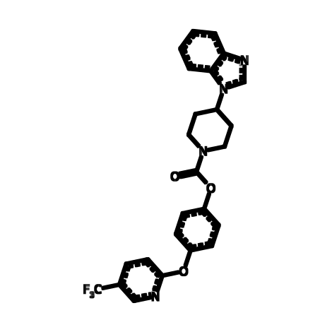 O=C(Oc1ccc(Oc2ccc(C(F)(F)F)cn2)cc1)N1CCC(n2cnc3ccccc32)CC1